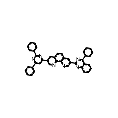 c1ccc(-c2cc(-c3cnc4c(ccc5cc(-c6nc(-c7ccccc7)c7ccccc7n6)cnc54)c3)nc(-c3ccccc3)n2)cc1